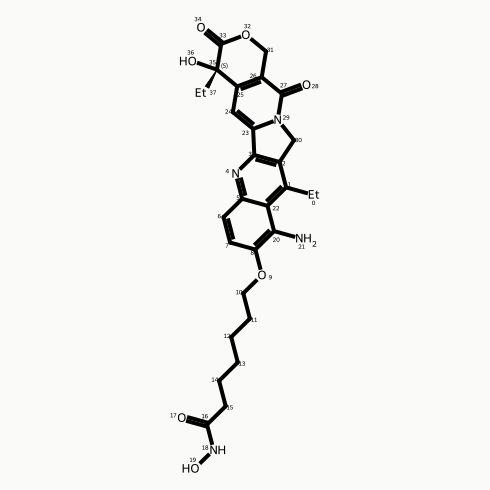 CCc1c2c(nc3ccc(OCCCCCCC(=O)NO)c(N)c13)-c1cc3c(c(=O)n1C2)COC(=O)[C@]3(O)CC